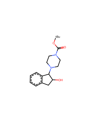 CC(C)(C)OC(=O)N1CCN(C2c3ccccc3CC2O)CC1